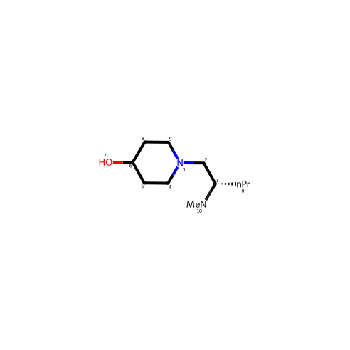 CCC[C@@H](CN1CCC(O)CC1)NC